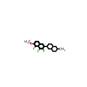 COc1ccc2cc(C3CCC4CC(C)CCC4C3)c(F)c(F)c2c1F